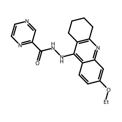 CCOc1ccc2c(NNC(=O)c3cnccn3)c3c(nc2c1)CCCC3